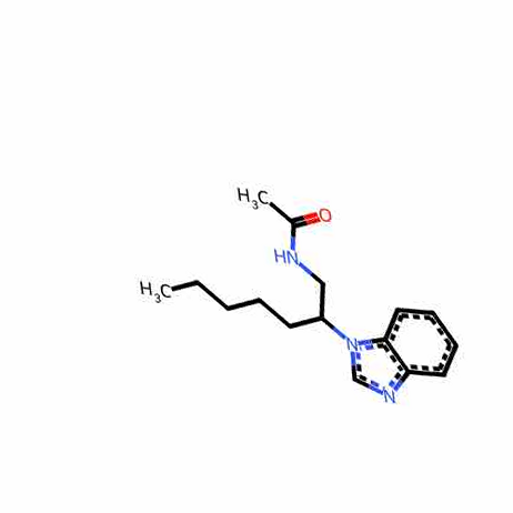 CCCCCC(CNC(C)=O)n1cnc2ccccc21